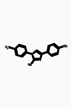 Nc1ccc(-n2cc(-c3ccc(O)cc3)nc2S)cc1